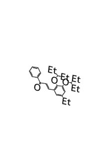 CCc1cc(C=CC(=O)c2ccccc2)c(OC(CC)CC)c(OC(CC)CC)c1